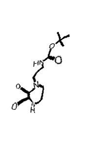 CC(C)(C)OC(=O)NCCN1CCNC(=O)C1=O